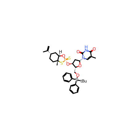 C=C(C)[C@H]1CC[C@@]2(C)SP(=S)(O[C@H]3C[C@H](n4cc(C)c(=O)[nH]c4=O)O[C@@H]3CO[Si](c3ccccc3)(c3ccccc3)C(C)(C)C)O[C@@H]2C1